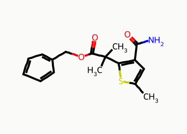 Cc1cc(C(N)=O)c(C(C)(C)C(=O)OCc2ccccc2)s1